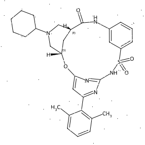 Cc1cccc(C)c1-c1cc2nc(n1)NS(=O)(=O)c1cccc(c1)NC(=O)[C@@H]1C[C@@H](CN(C3CCCCC3)C1)O2